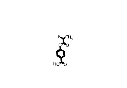 CC(F)C(=O)Oc1ccc(C(=O)O)cc1